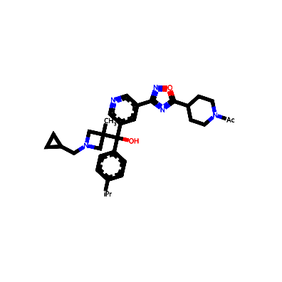 CC(=O)N1CCC(c2nc(-c3cncc(C(O)(c4ccc(C(C)C)cc4)C4(C)CN(CC5CC5)C4)c3)no2)CC1